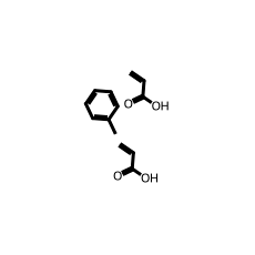 C=CC(=O)O.C=CC(=O)O.Cc1ccccc1